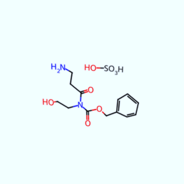 NCCC(=O)N(CCO)C(=O)OCc1ccccc1.O=S(=O)(O)O